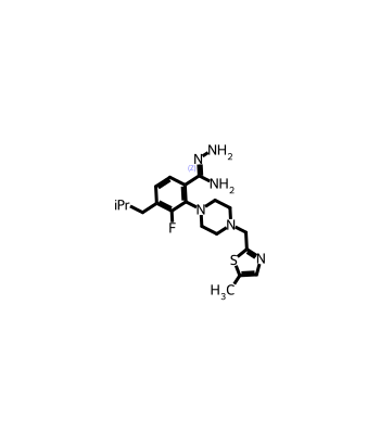 Cc1cnc(CN2CCN(c3c(/C(N)=N/N)ccc(CC(C)C)c3F)CC2)s1